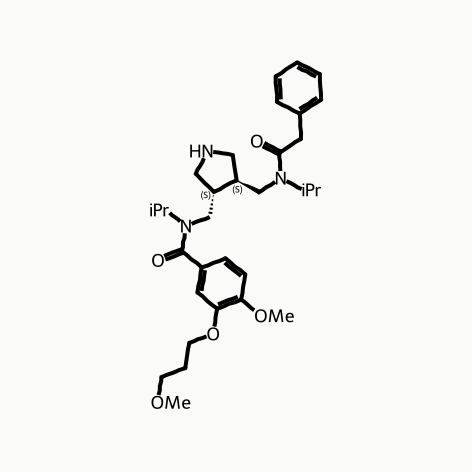 COCCCOc1cc(C(=O)N(C[C@@H]2CNC[C@H]2CN(C(=O)Cc2ccccc2)C(C)C)C(C)C)ccc1OC